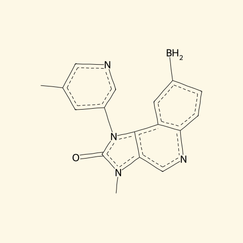 Bc1ccc2ncc3c(c2c1)n(-c1cncc(C)c1)c(=O)n3C